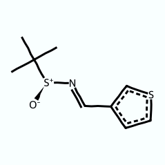 CC(C)(C)[S@+]([O-])/N=C/c1ccsc1